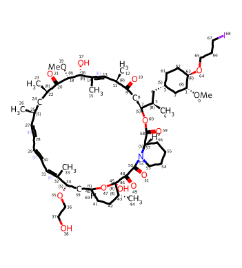 CO[C@@H]1C[C@H](C[C@@H](C)[C@@H]2CC(=O)[C@H](C)/C=C(\C)[C@@H](O)[C@@H](OC)C(=O)[C@H](C)C[C@H](C)/C=C/C=C/C=C(\C)[C@@H](OCCO)C[C@@H]3CC[C@@H](C)[C@@](O)(O3)C(=O)C(=O)N3CCCC[C@H]3C(=O)O2)CC[C@H]1OCCCI